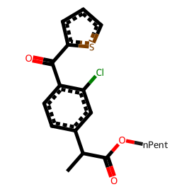 CCCCCOC(=O)C(C)c1ccc(C(=O)c2cccs2)c(Cl)c1